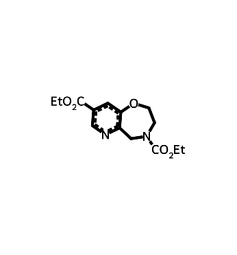 CCOC(=O)c1cnc2c(c1)OCCN(C(=O)OCC)C2